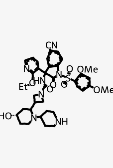 CCOc1ncccc1C1(NC(=O)N2CC(C3C[C@@H](O)CCN3C3CCNCC3)C2)C(=O)N(S(=O)(=O)c2ccc(OC)cc2OC)c2ccc(C#N)cc21